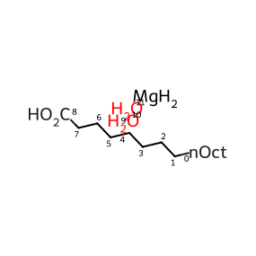 CCCCCCCCCCCCCCCC(=O)O.O.O.[MgH2]